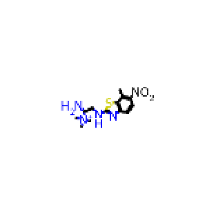 Cc1c([N+](=O)[O-])ccc2nc(NCC(N)[N+](C)(C)C)sc12